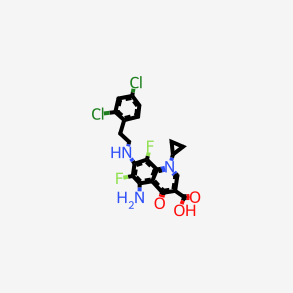 Nc1c(F)c(NCCc2ccc(Cl)cc2Cl)c(F)c2c1c(=O)c(C(=O)O)cn2C1CC1